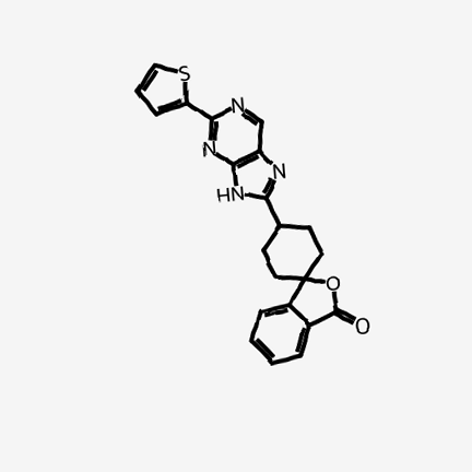 O=C1OC2(CCC(c3nc4cnc(-c5cccs5)nc4[nH]3)CC2)c2ccccc21